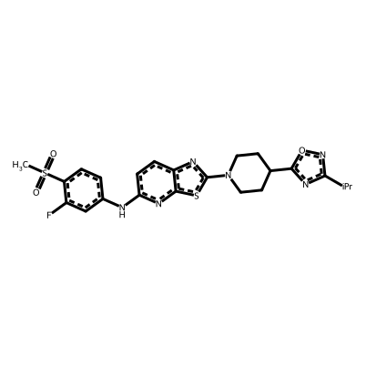 CC(C)c1noc(C2CCN(c3nc4ccc(Nc5ccc(S(C)(=O)=O)c(F)c5)nc4s3)CC2)n1